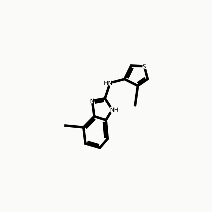 Cc1cscc1Nc1nc2c(C)cccc2[nH]1